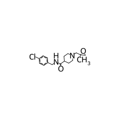 CC1(CN2CCC(C(=O)NCc3ccc(Cl)cc3)CC2)CO1